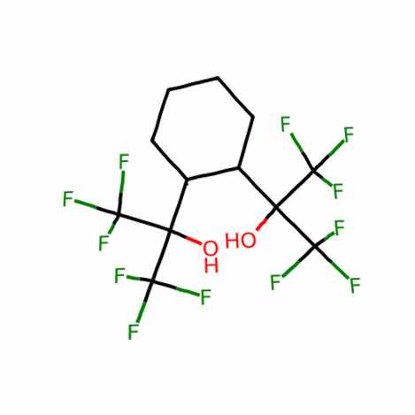 OC([C]1CCCCC1C(O)(C(F)(F)F)C(F)(F)F)(C(F)(F)F)C(F)(F)F